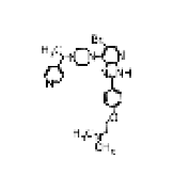 CC(c1ccncc1)N1CCN(c2c(Br)cnc3[nH]c(-c4ccc(OCCN(C)C)cc4)nc23)CC1